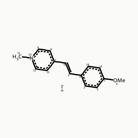 COc1ccc(/C=C/c2cc[n+](C)cc2)cc1.[I-]